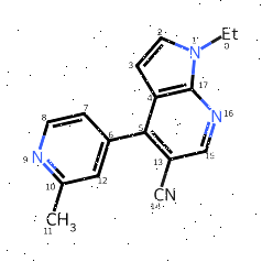 CCn1ccc2c(-c3ccnc(C)c3)c(C#N)cnc21